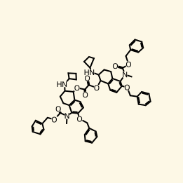 CN(C(=O)OCc1ccccc1)c1c(OCc2ccccc2)ccc2c1CCC(NC1CCC1)C2OC(=O)C(=O)OC1c2ccc(OCc3ccccc3)c(N(C)C(=O)OCc3ccccc3)c2CCC1NC1CCC1